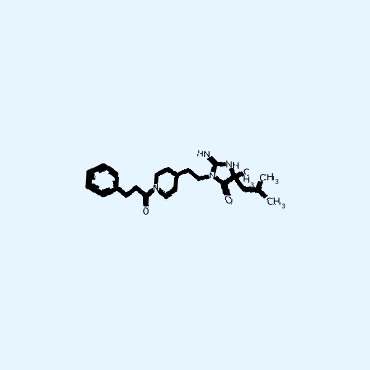 CC(C)CC1(C)NC(=N)N(CCC2CCN(C(=O)CCc3ccccc3)CC2)C1=O